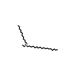 CCCCCCCCCCCCCCCCCCN(CC)CCCCCCCCCCCC